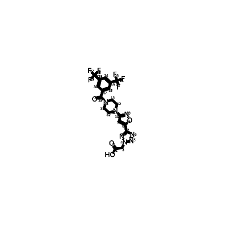 O=C(O)Cn1nnc(-c2cc(N3CCN(C(=O)c4cc(C(F)(F)F)cc(C(F)(F)F)c4)CC3)no2)n1